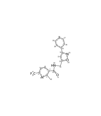 Cc1nc(C(F)(F)F)ccc1C(=O)NCc1cc(-c2ccccc2)no1